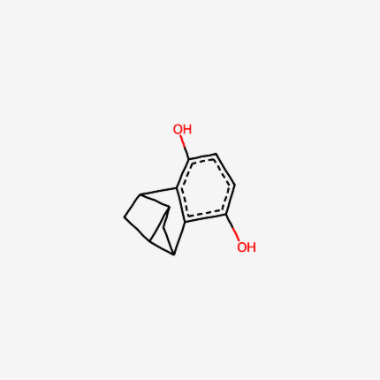 Oc1ccc(O)c2c1C1CC3C2CC13